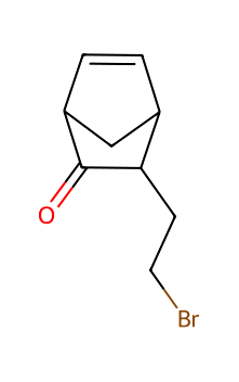 O=C1C2C=CC(C2)C1CCBr